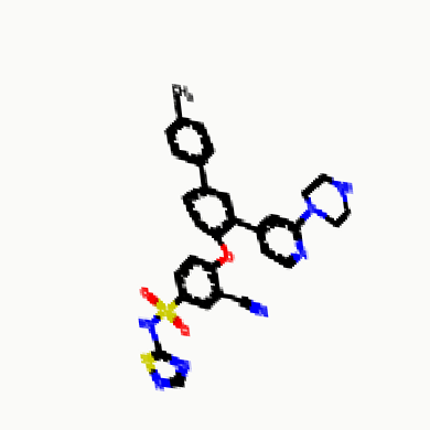 Cc1ccc(-c2ccc(Oc3ccc(S(=O)(=O)Nc4ncns4)cc3C#N)c(-c3ccnc(N4CCNCC4)c3)c2)cc1